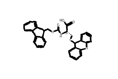 O=C(N[C@@H](CSC1c2ccccc2Oc2ccccc21)C(=O)O)OCC1c2ccccc2-c2ccccc21